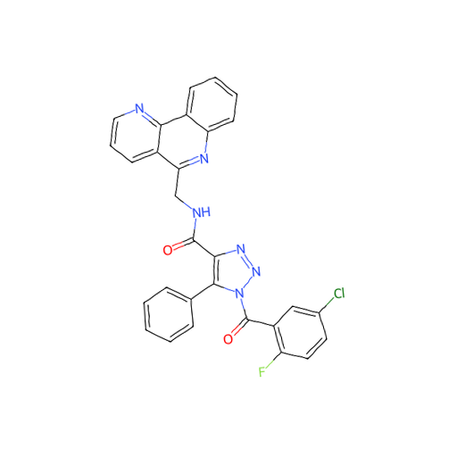 O=C(NCc1nc2ccccc2c2ncccc12)c1nnn(C(=O)c2cc(Cl)ccc2F)c1-c1ccccc1